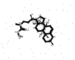 C[C@H]1CC[C@@]2(C)C(=CC[C@H]3[C@@H]4CC[C@H]([C@H](C)CCN(C)C(=O)OC(C)(C)C)[C@@]4(C)CC[C@@H]32)C1